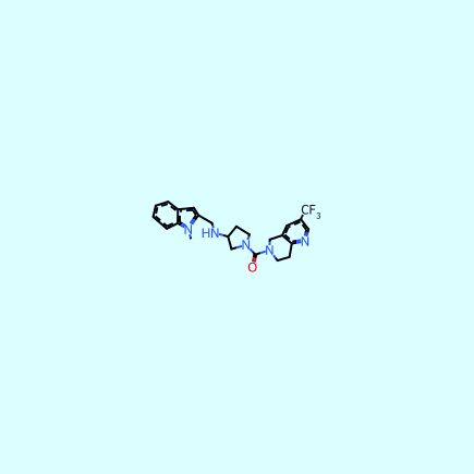 Cn1c(CNC2CCN(C(=O)N3CCc4ncc(C(F)(F)F)cc4C3)C2)cc2ccccc21